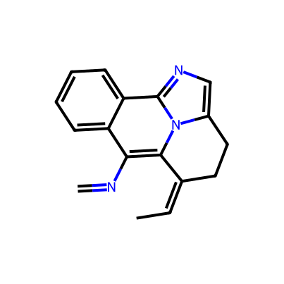 C=Nc1c2n3c(cnc3c3ccccc13)CC/C2=C/C